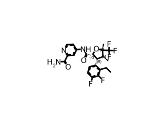 CCc1c([C@@H]2[C@H](C(=O)Nc3ccnc(C(N)=O)c3)O[C@](C)(C(F)(F)F)[C@H]2C)ccc(F)c1F